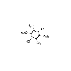 COc1c(C)c(Cl)c(OC)c(C)c1O